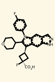 O=C(O)[C@]1(F)C[C@@H](c2c(C3CCOCC3)n(-c3ccc(F)cc3)c3cc4cn[nH]c4cc32)C1